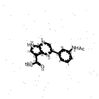 CC(=O)Nc1cccc(-c2cnc3[nH]cc(C(=O)C(C)(C)C)c3n2)c1